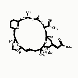 COC(=O)/C=C1\C[C@H]2C[C@H]([C@@H](C)O)OC(=O)C[C@H](O)C[C@@H]3CCC[C@H](C[C@@H]4CCO[C@H](/C=C/CC(C)(C)[C@](O)(O2)[C@H]1OC(C)=O)O4)O3